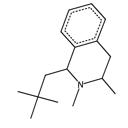 CC1Cc2ccccc2C(CC(C)(C)C)N1C